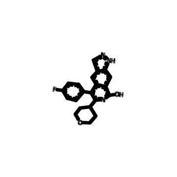 Oc1nc(C2CCOCC2)c(-c2ccc(F)cc2)c2cc3cn[nH]c3cc12